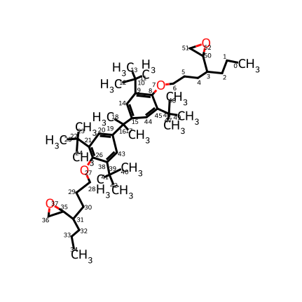 CCCC(CCCOc1c(C(C)(C)C)cc(C(C)(C)c2cc(C(C)(C)C)c(OCCCC(CCC)C3CO3)c(C(C)(C)C)c2)cc1C(C)(C)C)C1CO1